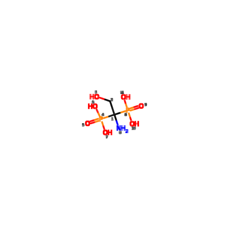 NC(CO)(P(=O)(O)O)P(=O)(O)O